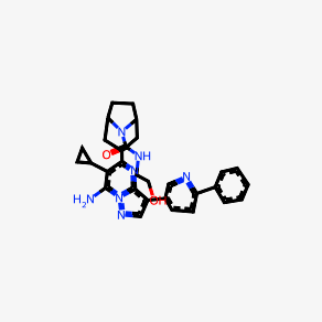 Nc1c(C2CC2)c(C2CC3CCC(C2)N3C(=O)NCCO)nc2c(-c3ccc(-c4ccccc4)nc3)cnn12